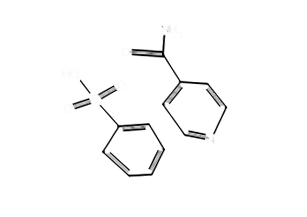 NC(=O)c1ccncc1.O=S(=O)(O)c1ccccc1